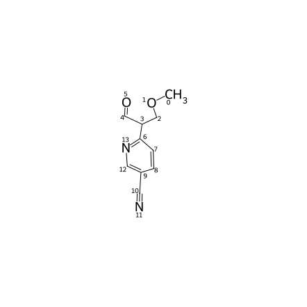 COCC(C=O)c1ccc(C#N)cn1